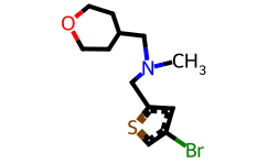 CN(Cc1cc(Br)cs1)CC1CCOCC1